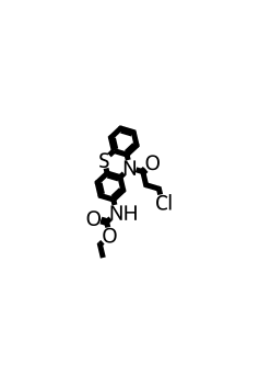 CCOC(=O)Nc1ccc2c(c1)N(C(=O)CCCl)c1ccccc1S2